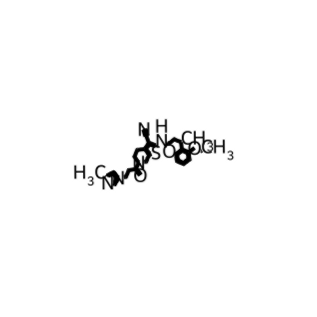 CCOc1ccccc1C(C)CC(=O)Nc1sc2c(c1C#N)CCN(C(=O)CCn1cnc(C)c1)C2